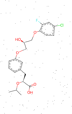 CC(C)O[C@@H](Cc1cccc(OC[C@@H](O)COc2ccc(Cl)cc2F)c1)C(=O)O